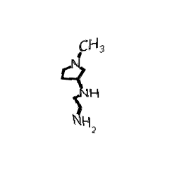 CN1CCC(NCCN)C1